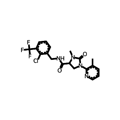 Cc1cccnc1N1CC(C(=O)NCc2cccc(C(F)(F)F)c2Cl)N(C)C1=O